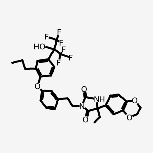 CCCc1cc(C(O)(C(F)(F)F)C(F)(F)F)ccc1Oc1cccc(CCN2C(=O)NC(CC)(c3ccc4c(c3)OCCO4)C2=O)c1